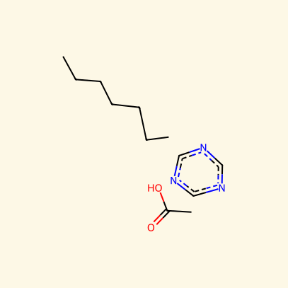 CC(=O)O.CCCCCCC.c1ncncn1